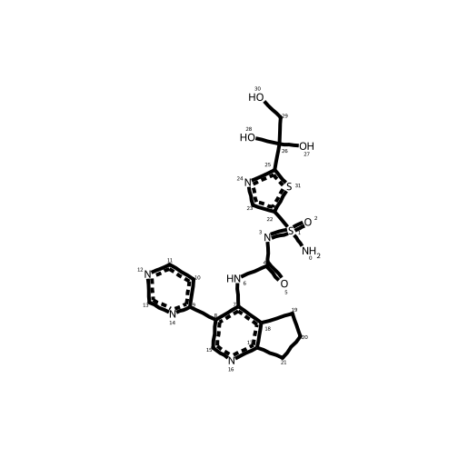 NS(=O)(=NC(=O)Nc1c(-c2ccncn2)cnc2c1CCC2)c1cnc(C(O)(O)CO)s1